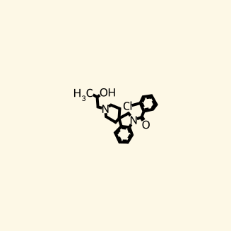 CC(O)CN1CCC2(CC1)CN(C(=O)c1ccccc1Cl)c1ccccc12